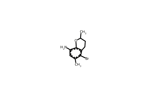 Cc1cc(N)c2c(c1Br)CCC(C)O2